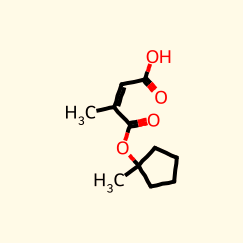 C/C(=C/C(=O)O)C(=O)OC1(C)CCCC1